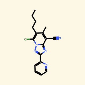 CCCCc1c(C)c(C#N)c2nc(-c3ccccn3)nn2c1Cl